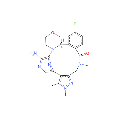 Cc1c2c(nn1C)CN(C)C(=O)c1ccc(F)cc1[C@H]1COCCN1c1nc-2cnc1N